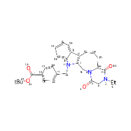 CCN1CC(=O)N2Cc3c(c4ccccc4n3Cc3ccc(C(=O)OC(C)(C)C)cc3)CCCC2C1=O